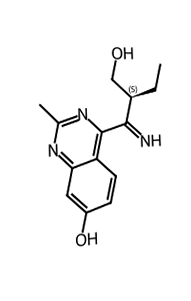 CC[C@H](CO)C(=N)c1nc(C)nc2cc(O)ccc12